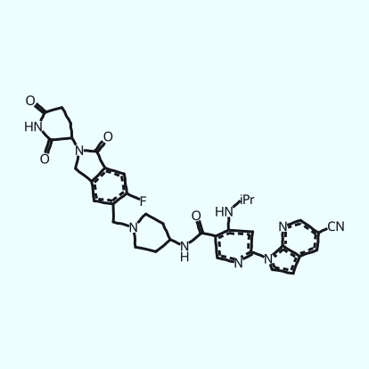 CC(C)Nc1cc(-n2ccc3cc(C#N)cnc32)ncc1C(=O)NC1CCN(Cc2cc3c(cc2F)C(=O)N(C2CCC(=O)NC2=O)C3)CC1